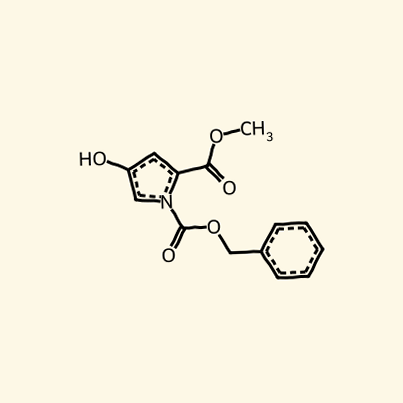 COC(=O)c1cc(O)cn1C(=O)OCc1ccccc1